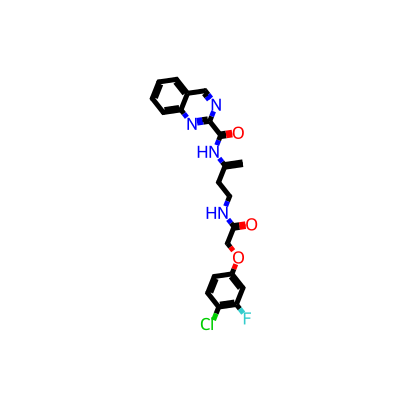 C=C(CCNC(=O)COc1ccc(Cl)c(F)c1)NC(=O)c1ncc2ccccc2n1